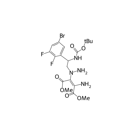 COC(=O)/C(N)=C(\C(=O)OC)N(N)CC(NC(=O)OC(C)(C)C)c1cc(Br)cc(F)c1F